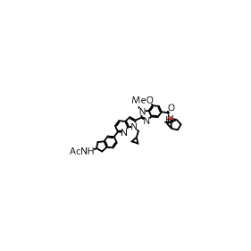 COc1cc(C(=O)N2CC3CCC2[C@@H]3C)cc2nc(-c3cc4ccc(-c5ccc6c(c5)CC(NC(C)=O)C6)nc4n3CC3CC3)n(C)c12